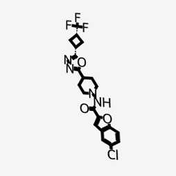 O=C(NN1CCC(c2nnc([C@H]3C[C@@H](C(F)(F)F)C3)o2)CC1)c1cc2cc(Cl)ccc2o1